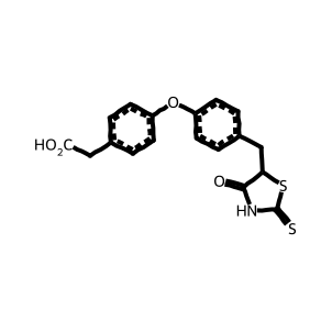 O=C(O)Cc1ccc(Oc2ccc(CC3SC(=S)NC3=O)cc2)cc1